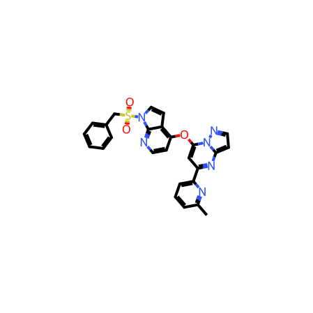 Cc1cccc(-c2cc(Oc3ccnc4c3ccn4S(=O)(=O)Cc3ccccc3)n3nccc3n2)n1